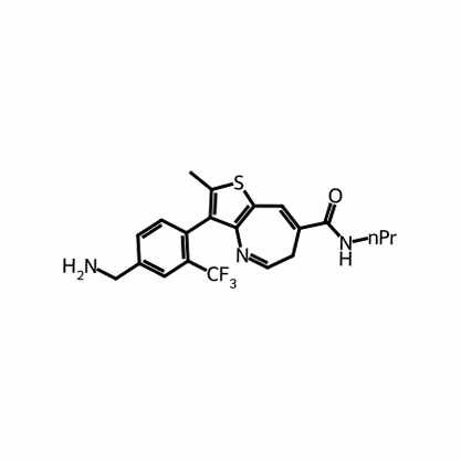 CCCNC(=O)C1=Cc2sc(C)c(-c3ccc(CN)cc3C(F)(F)F)c2N=CC1